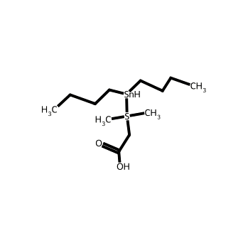 CCC[CH2][SnH]([CH2]CCC)[S](C)(C)CC(=O)O